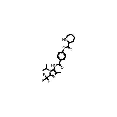 Cc1nc(C(F)(F)F)n(C(C)C)c1NC(=O)c1ccc(OC(=O)C2CCCCN2)cc1